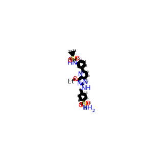 CCOc1nc(NCc2ccc(S(N)(=O)=O)cc2)nc2ccc(-c3cccc(NS(=O)(=O)C4CC4)c3)nc12